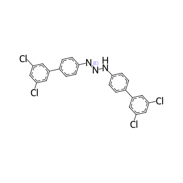 Clc1cc(Cl)cc(-c2ccc(/N=N/Nc3ccc(-c4cc(Cl)cc(Cl)c4)cc3)cc2)c1